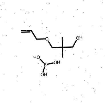 C=CCOCC(C)(C)CO.OB(O)O